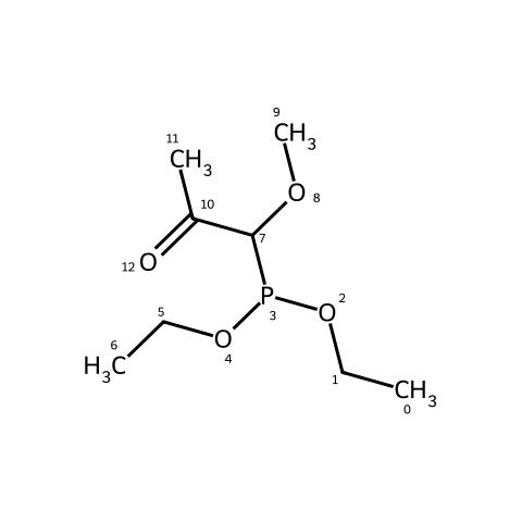 CCOP(OCC)C(OC)C(C)=O